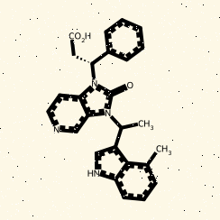 Cc1cccc2[nH]cc(C(C)n3c(=O)n([C@H](CC(=O)O)c4ccccc4)c4ccncc43)c12